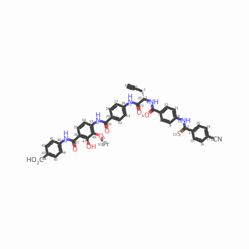 C#CC[C@H](NC(=O)c1ccc(NC(=S)c2ccc(C#N)cc2)cc1)C(=O)Nc1ccc(C(=O)Nc2ccc(C(=O)Nc3ccc(C(=O)O)cc3)c(O)c2OC(C)C)cc1